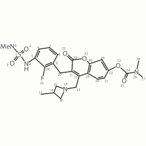 CNS(=O)(=O)Nc1cccc(Cc2c(CN3CC(C)C3)c3ccc(OC(=O)N(C)C)cc3oc2=O)c1F